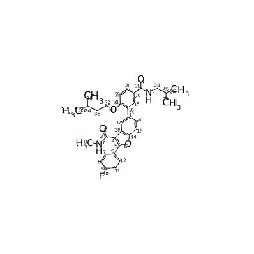 CNC(=O)c1c(-c2ccc(F)cc2)oc2ccc(-c3cc(C(=O)NCC(C)C)ccc3OCCC(C)C)cc12